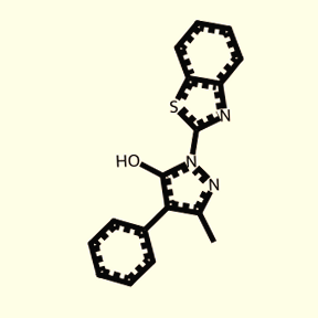 Cc1nn(-c2nc3ccccc3s2)c(O)c1-c1ccccc1